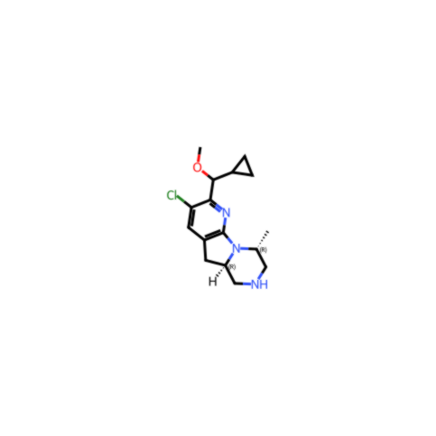 COC(c1nc2c(cc1Cl)C[C@@H]1CNC[C@@H](C)N21)C1CC1